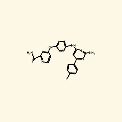 NC(=O)c1cc(Oc2ccc(Nc3cc(-c4ccc(F)cc4)nc(N)n3)cc2)ccn1